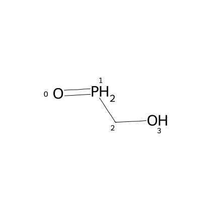 O=[PH2]CO